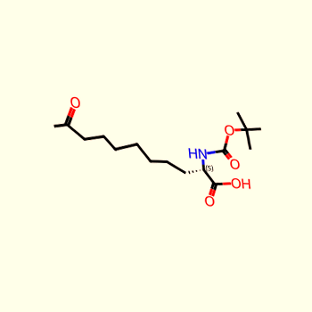 CC(=O)CCCCCCC[C@H](NC(=O)OC(C)(C)C)C(=O)O